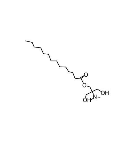 CCCCCCCCCCCCCC(=O)OCC(CO)(CO)N(C)C